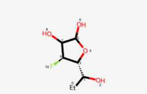 CCC(O)[C@H]1OC(O)C(O)[C@@H]1F